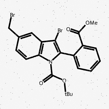 COC(=O)c1ccccc1-c1c(Br)c2cc(CBr)ccc2n1C(=O)OC(C)(C)C